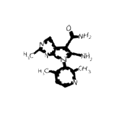 Cc1ncc2c(C(N)=O)c(N)n(-c3c(C)ccnc3C)c2n1